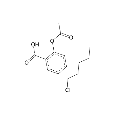 CC(=O)Oc1ccccc1C(=O)O.CCCCCCl